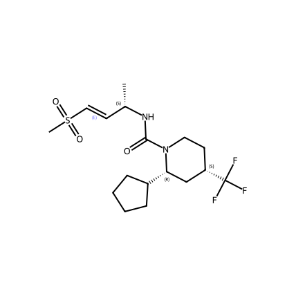 C[C@@H](/C=C/S(C)(=O)=O)NC(=O)N1CC[C@H](C(F)(F)F)C[C@@H]1C1CCCC1